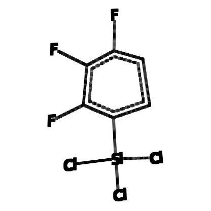 Fc1ccc([Si](Cl)(Cl)Cl)c(F)c1F